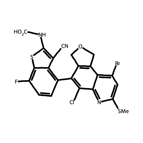 CSc1cc(Br)c2c3c(c(-c4ccc(F)c5sc(NC(=O)O)c(C#N)c45)c(Cl)c2n1)COC3